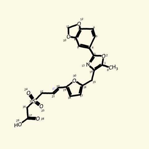 Cc1oc(-c2ccc3c(c2)OCO3)nc1Cc1ccc(/C=C/CS(=O)(=O)CC(=O)O)o1